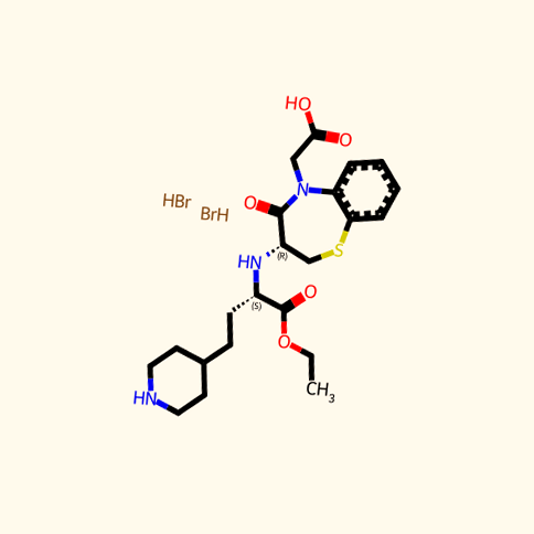 Br.Br.CCOC(=O)[C@H](CCC1CCNCC1)N[C@H]1CSc2ccccc2N(CC(=O)O)C1=O